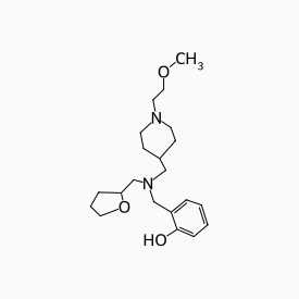 COCCN1CCC(CN(Cc2ccccc2O)CC2CCCO2)CC1